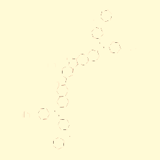 CC(C)c1ccc(N(c2ccc3c(c2)-c2ccccc2C3(C)C)c2ccc3cc4c(cc3c2)oc2c(C(C)C)c3oc5cc6cc(N(c7ccc(C(C)C)cc7)c7ccc8c(c7)-c7ccccc7C8(C)C)ccc6cc5c3cc24)cc1